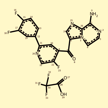 Nc1nccn2c(C(=O)c3cc(-c4ccc(F)c(F)c4)ncc3F)cnc12.O=C(O)C(F)(F)F